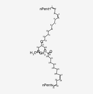 CCCCC/C=C\C/C=C\CCCCCCCCOC(COC(=O)CCCCCCC/C=C\C/C=C\CCCCC)CN(C)C